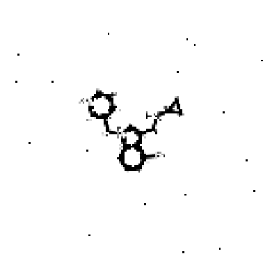 Fc1cccc2c1c(CNC1CC1)cn2Cc1cccnc1